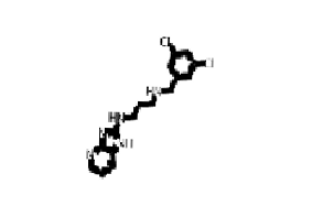 Clc1cc(Cl)cc(CNCCCNc2nc3ncccc3[nH]2)c1